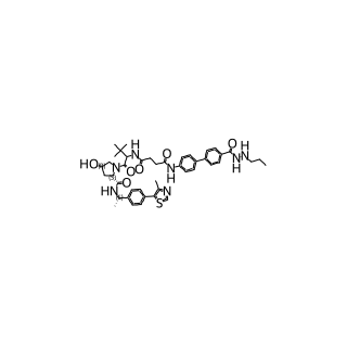 CCCNNC(=O)c1ccc(-c2ccc(NC(=O)CCC(=O)NC(C(=O)N3C[C@H](O)C[C@H]3C(=O)N[C@@H](C)c3ccc(-c4scnc4C)cc3)C(C)(C)C)cc2)cc1